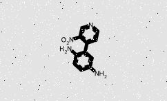 Nc1ccc(N)c(-c2ccncc2[N+](=O)[O-])c1